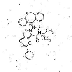 C[C@@H](N1CN([C@@H]2c3ccccc3SCc3cccc(Cl)c32)n2ccc(=O)c(OC(=O)c3ccccc3)c2C1=O)C(F)(F)F